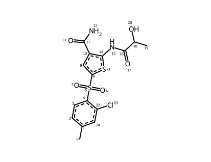 Cc1ccc(S(=O)(=O)c2cc(C(N)=O)c(NC(=O)C(C)O)s2)c(Cl)c1